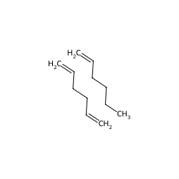 C=CCCC=C.C=CCCCC